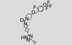 O=C(N1CCC(OCc2ccc(OC(F)(F)F)cc2F)CC1)N1CC2(CC(c3nc(C4CC4)n[nH]3)C2)C1